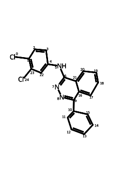 Clc1ccc(Nc2nnc(-c3ccccc3)c3ccccc23)cc1Cl